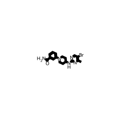 Cc1nc(NC2CCN(c3cccc(C(N)=O)c3)CC2)ncc1Br